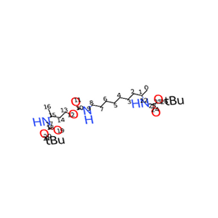 CC(CCCCCCCNC(=O)OCCC(C)NC(=O)OC(C)(C)C)NC(=O)OC(C)(C)C